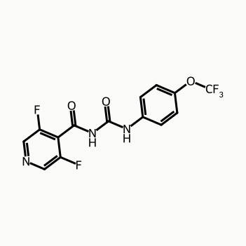 O=C(NC(=O)c1c(F)cncc1F)Nc1ccc(OC(F)(F)F)cc1